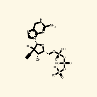 C#CC1(O)[C@@H](O)[C@@H](COP(=O)(O)OP(=O)(O)OP(=O)(O)O)O[C@H]1n1cnc2c1N=C(N)NC2